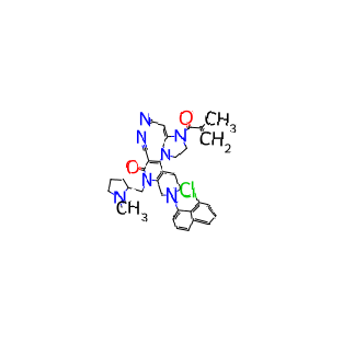 C=C(C)C(=O)N1CCN(c2c3c(n(CC4CCCN4C)c(=O)c2C#N)CN(c2cccc4cccc(Cl)c24)CC3)CC1=CC#N